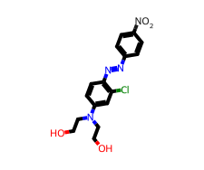 O=[N+]([O-])c1ccc(/N=N/c2ccc(N(CCO)CCO)cc2Cl)cc1